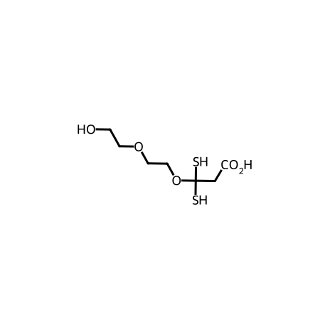 O=C(O)CC(S)(S)OCCOCCO